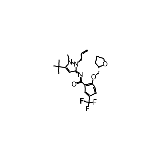 C=CCn1/c(=N/C(=O)c2cc(C(F)(F)F)ccc2OC[C@@H]2CCCO2)cc(C(C)(C)C)n1C